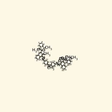 CCc1ccccc1N(C)C(=O)c1cc2ccccc2c(N=Nc2ccc(N(C)c3ccc(N=Nc4c(OC)c(C(=O)N(C)c5ccccc5CC)cc5ccccc45)cc3)cc2)c1C